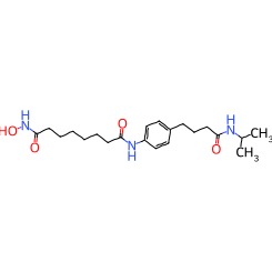 CC(C)NC(=O)CCCc1ccc(NC(=O)CCCCCCC(=O)NO)cc1